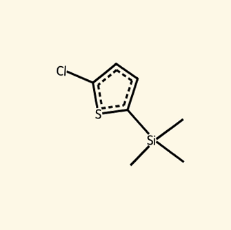 C[Si](C)(C)c1ccc(Cl)s1